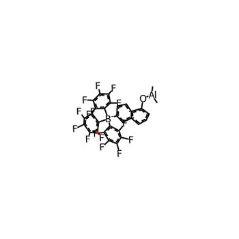 [CH3][Al]([CH3])[O]c1cccc2cc([B-](c3c(F)c(F)c(F)c(F)c3F)(c3c(F)c(F)c(F)c(F)c3F)c3c(F)c(F)c(F)c(F)c3F)ccc12